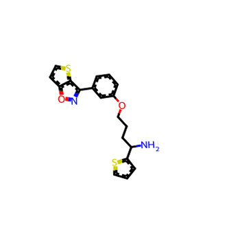 NC(CCCOc1cccc(-c2noc3ccsc23)c1)c1cccs1